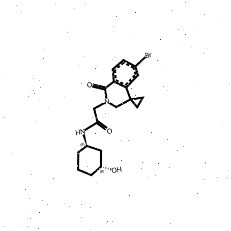 O=C(CN1CC2(CC2)c2cc(Br)ccc2C1=O)N[C@@H]1CCC[C@@H](O)C1